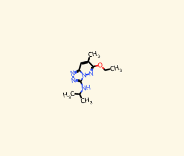 CCOc1nn2c(NC(C)C)nnc2cc1C